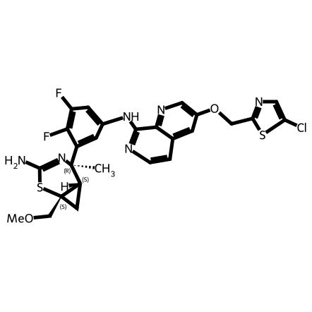 COC[C@]12C[C@H]1[C@](C)(c1cc(Nc3nccc4cc(OCc5ncc(Cl)s5)cnc34)cc(F)c1F)N=C(N)S2